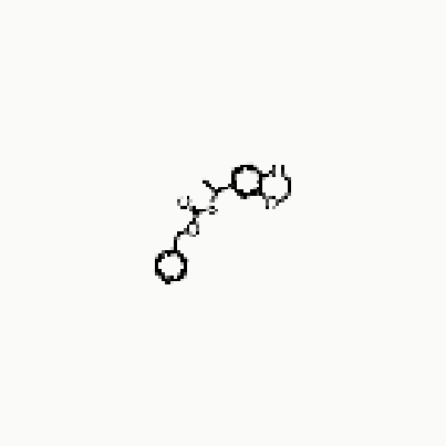 CC(SC(=O)OCc1ccccc1)c1ccc2c(c1)OCCO2